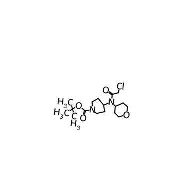 CC(C)(C)OC(=O)N1CCC(N(C(=O)CCl)C2CCOCC2)CC1